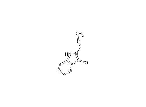 C=C=Cn1[nH]c2ccccc2c1=O